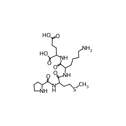 CSCCC(NC(=O)C1CCCN1)C(=O)NC(CCCCN)C(=O)NC(CCC(=O)O)C(=O)O